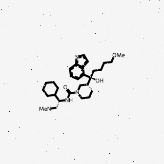 CNC[C@@H](NC(=O)N1CCC[C@@H]([C@@](O)(CCCCOC)c2cccc3sccc23)C1)C1CCCCC1